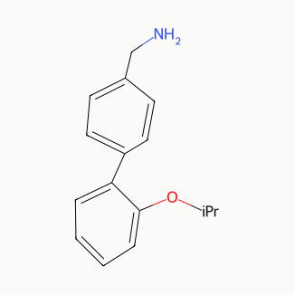 CC(C)Oc1ccccc1-c1ccc(CN)cc1